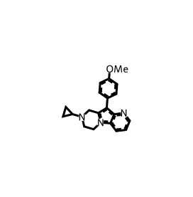 COc1ccc(-c2c3n(c4cccnc24)CCN(C2CC2)C3)cc1